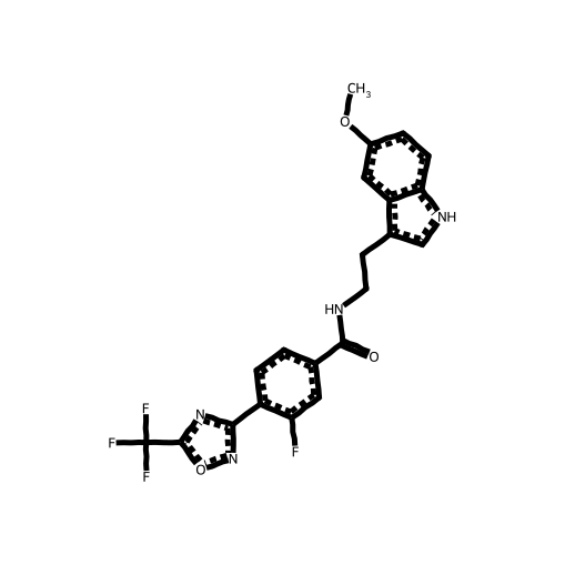 COc1ccc2[nH]cc(CCNC(=O)c3ccc(-c4noc(C(F)(F)F)n4)c(F)c3)c2c1